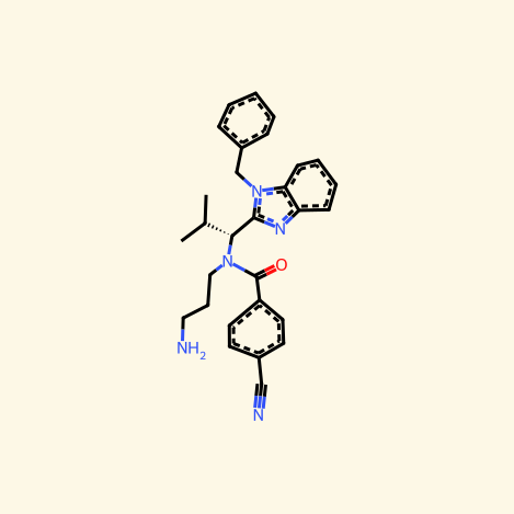 CC(C)[C@H](c1nc2ccccc2n1Cc1ccccc1)N(CCCN)C(=O)c1ccc(C#N)cc1